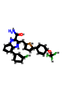 NC(=O)c1nc2cccc(-c3cccc(F)c3)c2nc1Cc1ccc(-c2ccc(OC(F)(F)F)cc2)s1